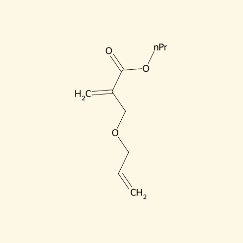 C=CCOCC(=C)C(=O)OCCC